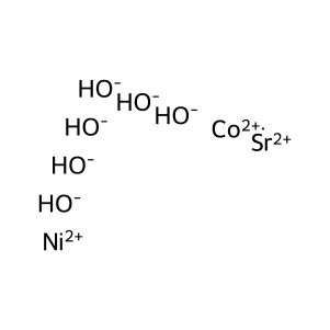 [Co+2].[Ni+2].[OH-].[OH-].[OH-].[OH-].[OH-].[OH-].[Sr+2]